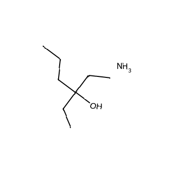 CCCC(O)(CC)CC.N